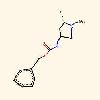 C[C@H]1C[C@H](NC(=O)OCc2ccccc2)CN1C(C)(C)C